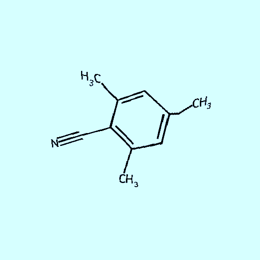 Cc1cc(C)c(C#N)c(C)c1